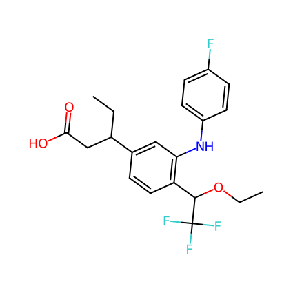 CCOC(c1ccc(C(CC)CC(=O)O)cc1Nc1ccc(F)cc1)C(F)(F)F